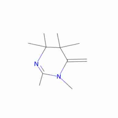 C=C1N(C)C(C)=NC(C)(C)C1(C)C